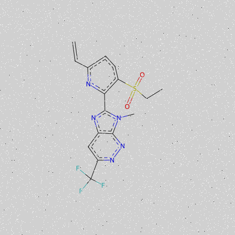 C=Cc1ccc(S(=O)(=O)CC)c(-c2nc3cc(C(F)(F)F)nnc3n2C)n1